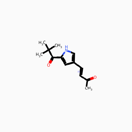 CC(=O)/C=C/c1c[nH]c(C(=O)C(C)(C)C)c1